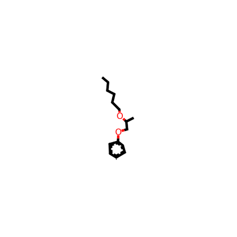 CCCCCCOC(C)COc1cc[c]cc1